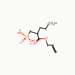 C=CCOC(=O)C(CCC(=O)O)CP(=O)(O)O